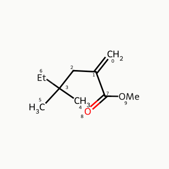 C=C(CC(C)(C)CC)C(=O)OC